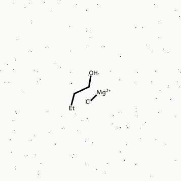 CCCCO.[Mg+2][Cl]